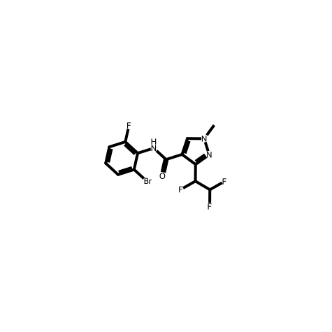 Cn1cc(C(=O)Nc2c(F)cccc2Br)c(C(F)C(F)F)n1